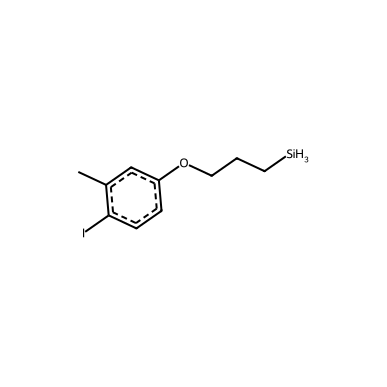 Cc1cc(OCCC[SiH3])ccc1I